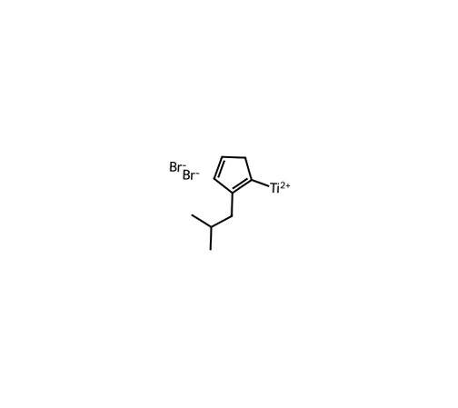 CC(C)CC1=[C]([Ti+2])CC=C1.[Br-].[Br-]